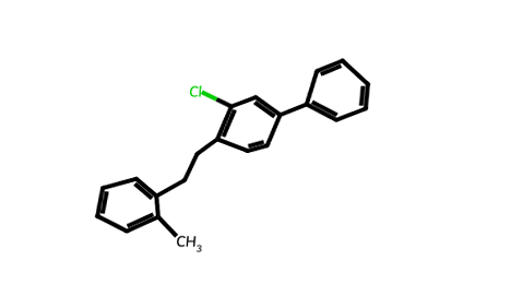 Cc1ccccc1CCc1ccc(-c2ccccc2)cc1Cl